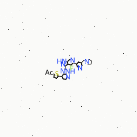 CC(=O)c1ccc(-c2ccnc3[nH]c(-c4n[nH]c5cnc(-c6cncc(CN7CCCC7)c6)c(F)c45)nc23)s1